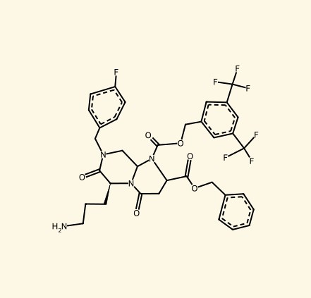 NCCC[C@H]1C(=O)N(Cc2ccc(F)cc2)CC2N(C(=O)OCc3cc(C(F)(F)F)cc(C(F)(F)F)c3)C(C(=O)OCc3ccccc3)CC(=O)N21